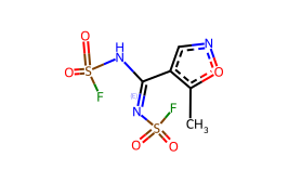 Cc1oncc1/C(=N\S(=O)(=O)F)NS(=O)(=O)F